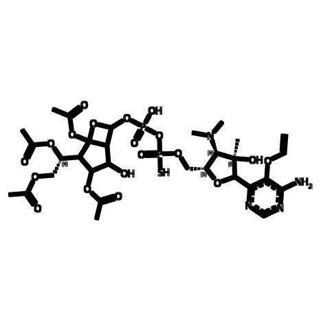 C=COc1c(N)ncnc1C1O[C@H](COP(=O)(S)OP(=O)(O)OC2OC3(OC(C)=O)C2C(O)C(OC(C)=O)C3[C@H](COC(C)=O)OC(C)=O)[C@@H](N(C)C)[C@@]1(C)O